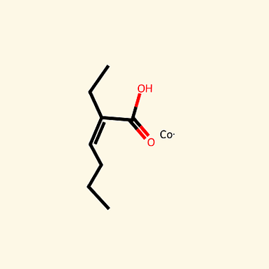 CCCC=C(CC)C(=O)O.[Co]